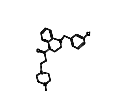 CN1CCN(CCC(=O)N2CCN(Cc3cccc(Cl)c3)c3ccccc32)CC1